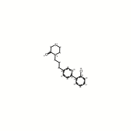 O=C1CSCCN1CCCc1ccc(-c2ccccc2Cl)nc1